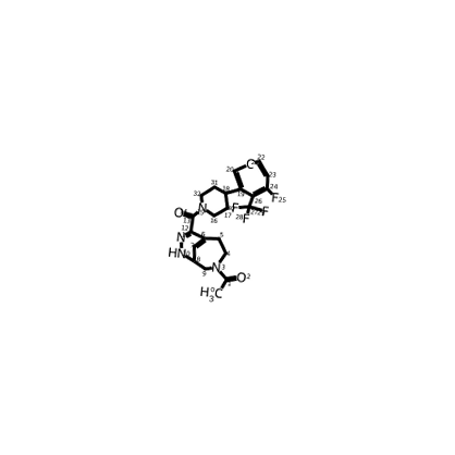 CC(=O)N1CCC2=CC(C1)NN=C2C(=O)N1CCC(C2=CCC=CC(F)=C2C(F)(F)F)CC1